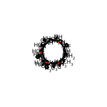 CCCC[C@H]1C(=O)N(C)[C@@H](CCCC)C(=O)N[C@@H](CC(C)C)C(=O)N[C@H](C(N)=O)CNCC(=O)N[C@@H](Cc2ccc(F)cc2)C(=O)N2CCCC[C@H]2C(=O)N[C@@H](CC(=O)O)C(=O)N2CCCC2C(=O)N[C@@H](CCC(N)=O)C(=O)N[C@@H](CC(=O)O)C(=O)N2C[C@H](O)C[C@H]2C(=O)N[C@@H](Cc2c[nH]c3ccccc23)C(=O)N[C@@H](CC(N)=O)C(=O)N[C@@H](Cc2cn(CC(=O)O)c3ccccc23)C(=O)N1C